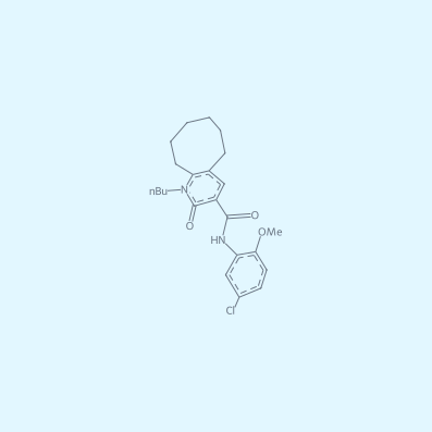 CCCCn1c2c(cc(C(=O)Nc3cc(Cl)ccc3OC)c1=O)CCCCCC2